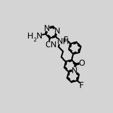 N#Cc1c(N)ncnc1NCCCc1cc2ccc(F)cn2c(=O)c1-c1cccc(F)c1